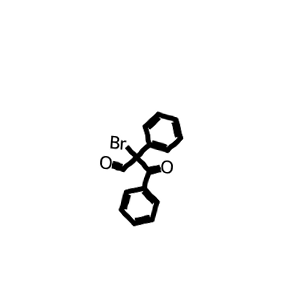 O=CC(Br)(C(=O)c1ccccc1)c1ccccc1